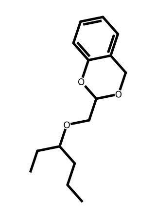 CCCC(CC)OCC1OCc2ccccc2O1